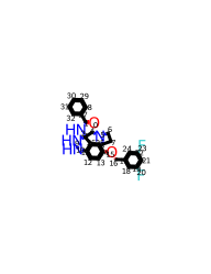 O=C(NC1(CN2CCC2)NNc2ccc(OCc3cc(F)cc(F)c3)cc21)c1ccccc1